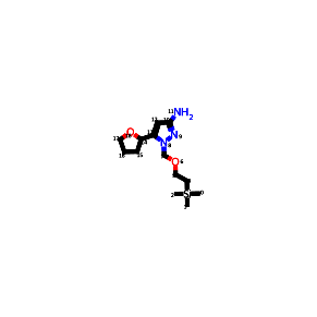 C[Si](C)(C)CCOCn1nc(N)cc1C1CCCO1